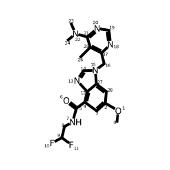 COc1cc(C(=O)NCC(F)F)c2ncn(Cc3ncnc(N(C)C)c3C)c2c1